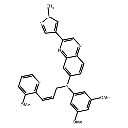 COc1cc(OC)cc(N(C/C=C\c2ncccc2OC)c2ccc3ncc(-c4cnn(C)c4)nc3c2)c1